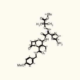 COc1ccc(COC(=O)C2=C(CI)C(NC(=O)/C(=N\OC(C)(C)C(=O)OC(C)(C)C)c3nsc(N)n3)SC3CC(=O)N23)cc1